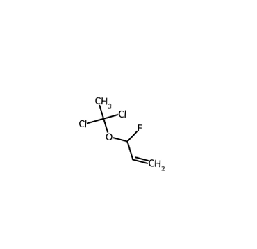 C=CC(F)OC(C)(Cl)Cl